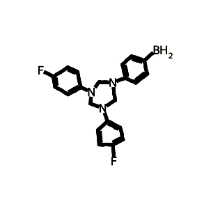 Bc1ccc(N2CN(c3ccc(F)cc3)CN(c3ccc(F)cc3)C2)cc1